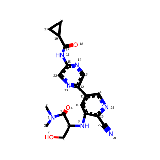 CN(C)C(=O)C(CO)Nc1cc(-c2cnc(NC(=O)C3CC3)cn2)cnc1C#N